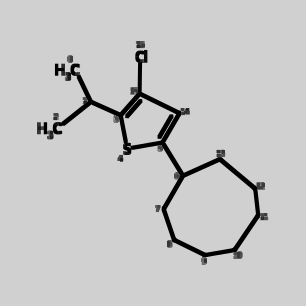 CC(C)c1sc(C2CCCCCCC2)cc1Cl